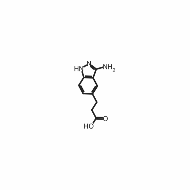 Nc1n[nH]c2ccc(CCC(=O)O)cc12